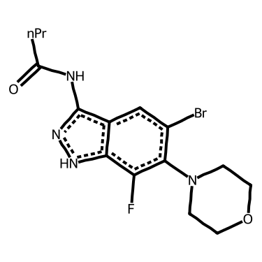 CCCC(=O)Nc1n[nH]c2c(F)c(N3CCOCC3)c(Br)cc12